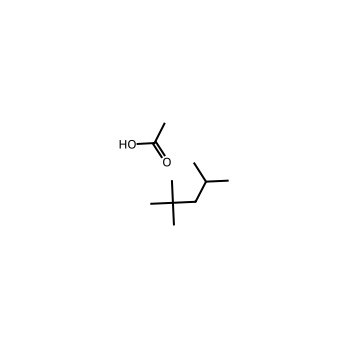 CC(=O)O.CC(C)CC(C)(C)C